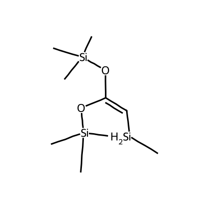 C[SiH2]C=C(O[Si](C)(C)C)O[Si](C)(C)C